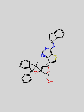 CC(C)(C)[Si](OC1=C[C@H](c2csc3c(N[C@H]4CCc5ccccc54)ncnc23)O[C@@H]1CO)(c1ccccc1)c1ccccc1